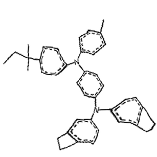 CCC(C)(C)c1ccc(N(c2ccc(C)cc2)c2ccc(N(c3ccc4c(c3)CC4)c3ccc4c(c3)CC4)cc2)cc1